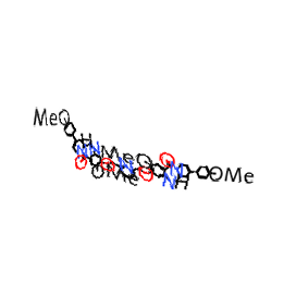 COc1ccc(C2=CCN3C(=O)c4cc(OC)c(OCc5cccc(COc6cc7c(cc6OC)C(=O)N6CC=C(c8ccc(OC)cc8)C[C@H]6C=N7)n5)cc4N=C[C@@H]3C2)cc1